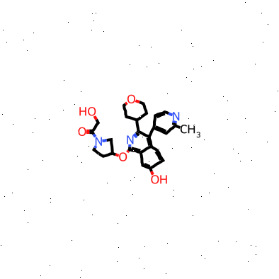 Cc1cc(-c2c(C3CCOCC3)nc(OC3CCN(C(=O)CO)C3)c3cc(O)ccc23)ccn1